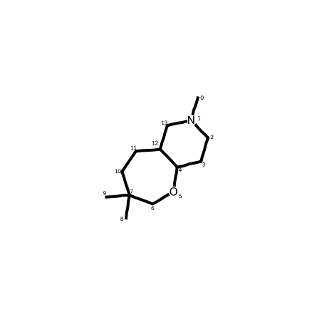 CN1CCC2OCC(C)(C)CCC2C1